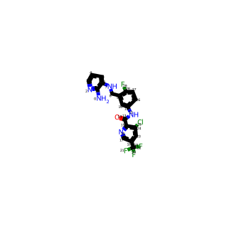 Nc1ncccc1NCc1cc(NC(=O)c2ncc(C(F)(F)F)cc2Cl)ccc1F